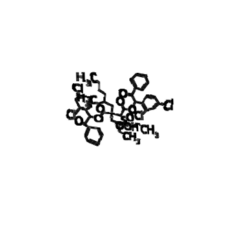 CCCCC(CC)CC(CC(CC)CCCC)(C(=O)OC(C(=O)c1ccccc1)c1ccc(Cl)cc1Cl)C(C(=O)OC(C(=O)c1ccccc1)c1ccc(Cl)cc1Cl)S(=O)(=O)O